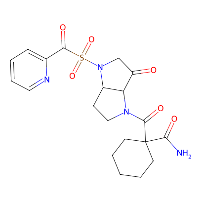 NC(=O)C1(C(=O)N2CCC3C2C(=O)CN3S(=O)(=O)C(=O)c2ccccn2)CCCCC1